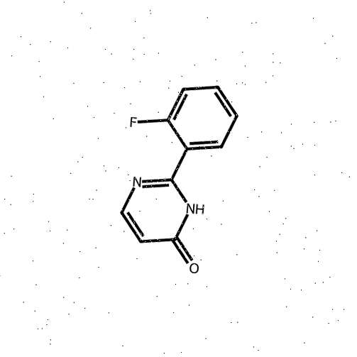 O=c1ccnc(-c2ccccc2F)[nH]1